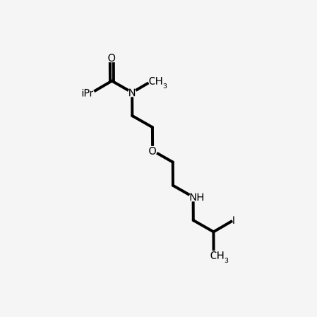 CC(I)CNCCOCCN(C)C(=O)C(C)C